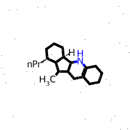 CCC[C@H]1CCC[C@H]2C3NC4=C(CCCC4)CC3C(C)C12